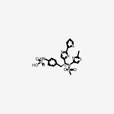 Cc1nc(N([C@@H](Cc2ccc(NS(=O)(=O)O)cc2)c2csc(-c3cccs3)n2)S(C)(=O)=O)cs1